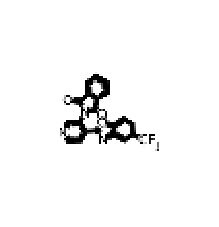 O=C1c2ccccc2C(=O)N1c1cnccc1-c1nc2c(o1)=CCC(C(F)(F)F)C=2